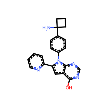 NC1(c2ccc(-n3c(-c4ccccn4)cc4c(O)ncnc43)cc2)CCC1